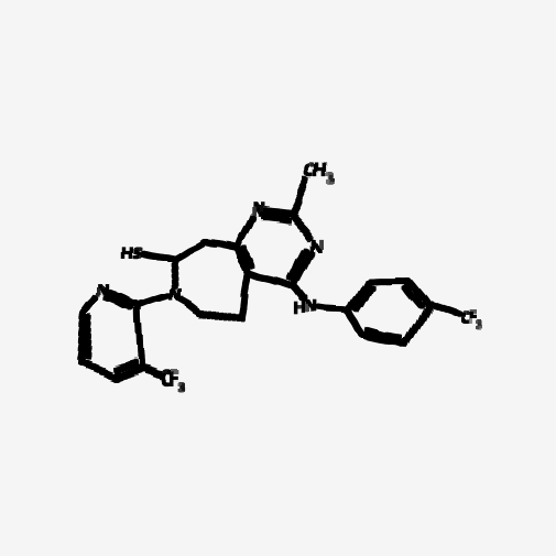 Cc1nc2c(c(Nc3ccc(C(F)(F)F)cc3)n1)CCN(c1ncccc1C(F)(F)F)C(S)C2